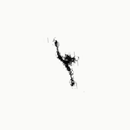 C=CC(=O)OCCCCCCOc1ccc(C(=O)Oc2ccc(OC(=O)c3ccc(OCCCCCCOC(=O)C=C)cc3)c(C(=N)n3c4ccc(C)cc4c4cc(C)ccc43)c2)cc1